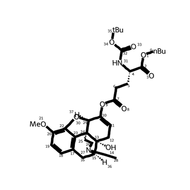 CCCCOC(=O)[C@H](CCC(=O)OC1=CC[C@@]2(O)[C@H]3Cc4ccc(OC)c5c4[C@@]2(CCN3C)[C@H]1O5)NC(=O)OC(C)(C)C